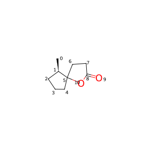 C[C@@H]1CCCC12CCC(=O)O2